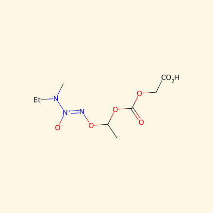 CCN(C)/[N+]([O-])=N/OC(C)OC(=O)OCC(=O)O